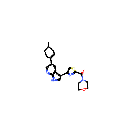 CC1CC=C(c2cnc3[nH]cc(-c4csc(C(=O)N5CCOCC5)n4)c3c2)CC1